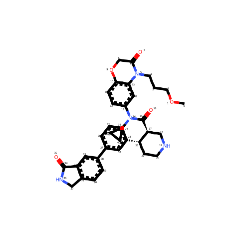 COCCCN1C(=O)COc2ccc(N(C(=O)[C@H]3CNCC[C@@H]3c3cccc(-c4ccc5c(c4)C(=O)NC5)c3)C3CC3)cc21